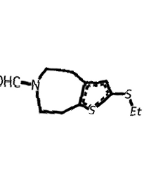 CCSc1cc2c(s1)CCN(C=O)CC2